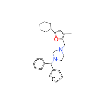 Cc1cc(C2CCCCC2)oc1CN1CCN(C(c2ccccc2)c2ccccc2)CC1